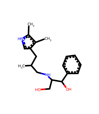 C[C](CNC(CO)C(O)c1ccccc1)Cc1c[nH]c(C)c1C